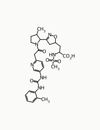 Cc1ccccc1NC(=O)Nc1ccc(CC(=O)N2CCC(C)C2C2=NOC(CC(NS(C)(=O)=O)C(=O)O)C2)nc1